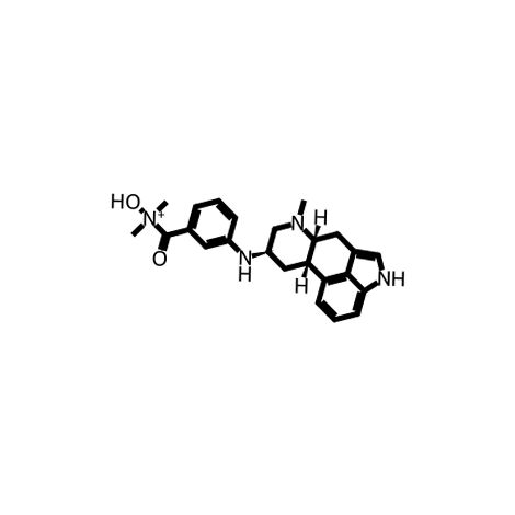 CN1C[C@H](Nc2cccc(C(=O)[N+](C)(C)O)c2)C[C@H]2c3cccc4[nH]cc(c34)C[C@H]21